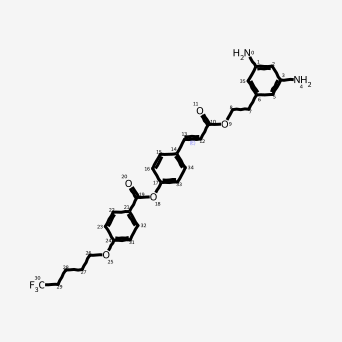 Nc1cc(N)cc(CCOC(=O)/C=C/c2ccc(OC(=O)c3ccc(OCCCCC(F)(F)F)cc3)cc2)c1